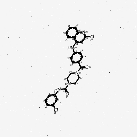 O=C(Nc1cccc(Cl)c1)N1CCN(C(=O)c2ccc(Nc3cc(Cl)nc4ccccc34)cc2)CC1